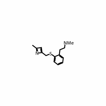 CNCCc1ccccc1SCC1=CC(C)=N1